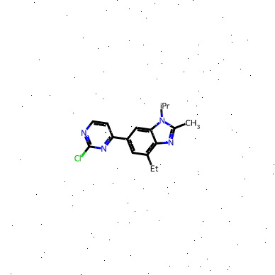 CCc1cc(-c2ccnc(Cl)n2)cc2c1nc(C)n2C(C)C